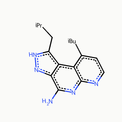 CCC(C)c1ccnc2nc(N)c3n[nH]c(CC(C)C)c3c12